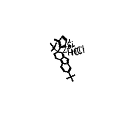 CC1=C(C2(C(C)(C)C)C=CC3=c4ccc(C(C)(C)C)cc4=CC3=[C]2[Zr]=[Si](C)C)CC=C1.Cl.Cl